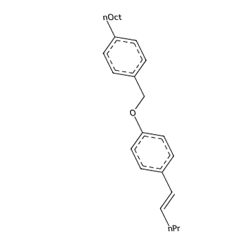 CCCC=Cc1ccc(OCc2ccc(CCCCCCCC)cc2)cc1